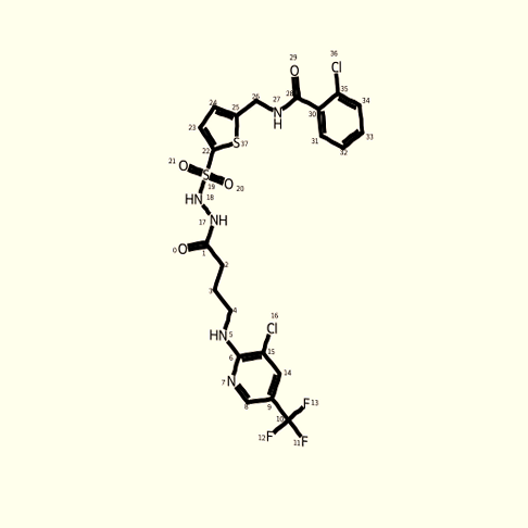 O=C(CCCNc1ncc(C(F)(F)F)cc1Cl)NNS(=O)(=O)c1ccc(CNC(=O)c2ccccc2Cl)s1